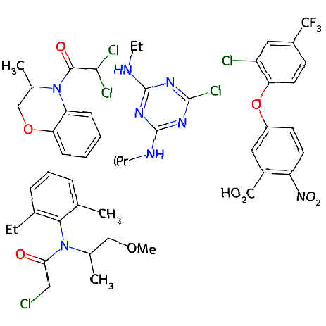 CC1COc2ccccc2N1C(=O)C(Cl)Cl.CCNc1nc(Cl)nc(NC(C)C)n1.CCc1cccc(C)c1N(C(=O)CCl)C(C)COC.O=C(O)c1cc(Oc2ccc(C(F)(F)F)cc2Cl)ccc1[N+](=O)[O-]